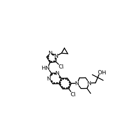 CC1CN(c2cc3nc(Nc4cnn(C5CC5)c4Cl)ncc3cc2Cl)CCN1CC(C)(C)O